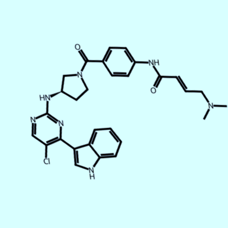 CN(C)C/C=C/C(=O)Nc1ccc(C(=O)N2CC[C@@H](Nc3ncc(Cl)c(-c4c[nH]c5ccccc45)n3)C2)cc1